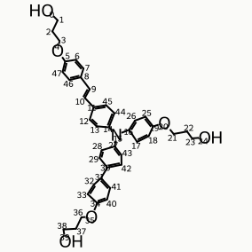 OCCCOc1ccc(C=Cc2ccc(N(c3ccc(OCCCO)cc3)c3ccc(-c4ccc(OCCCO)cc4)cc3)cc2)cc1